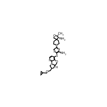 C[C@@H]1OCC2(CCN(c3cnc(Sc4ccnc5c4OC[C@@H]4CC(COCC6CC6)CN54)c(N)n3)CC2)[C@@H]1N